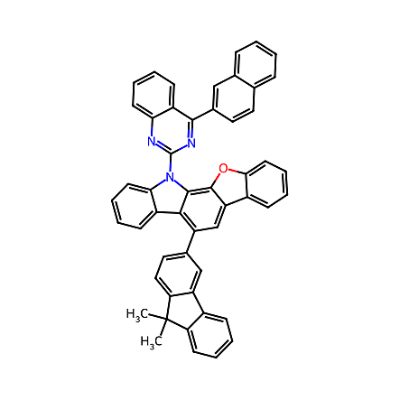 CC1(C)c2ccccc2-c2cc(-c3cc4c5ccccc5oc4c4c3c3ccccc3n4-c3nc(-c4ccc5ccccc5c4)c4ccccc4n3)ccc21